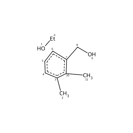 CCO.Cc1cccc(CO)c1C